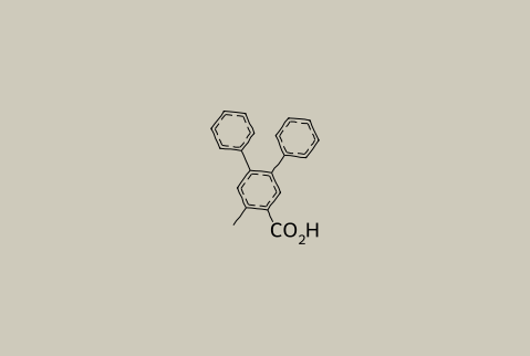 Cc1cc(-c2ccccc2)c(-c2ccccc2)cc1C(=O)O